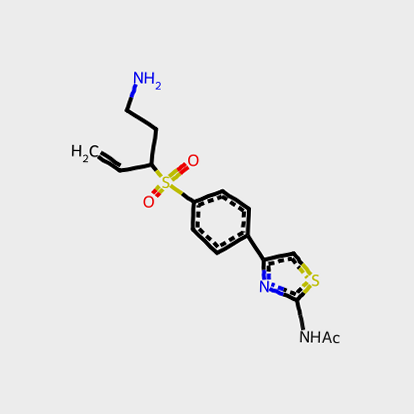 C=CC(CCN)S(=O)(=O)c1ccc(-c2csc(NC(C)=O)n2)cc1